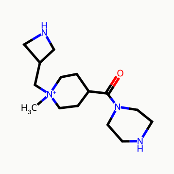 C[N+]1(CC2CNC2)CCC(C(=O)N2CCNCC2)CC1